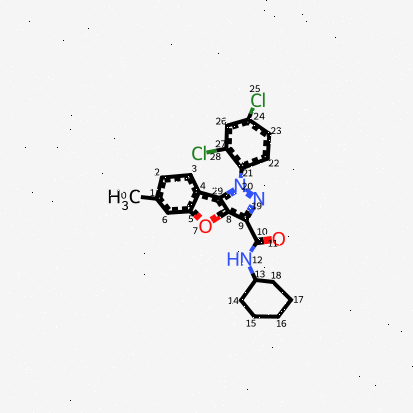 Cc1ccc2c(c1)oc1c(C(=O)NC3CCCCC3)nn(-c3ccc(Cl)cc3Cl)c12